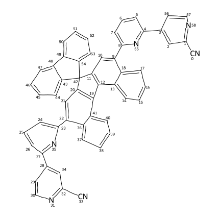 N#Cc1cc(-c2cccc(-c3cc4c(c5ccccc35)-c3c(cc(-c5cccc(-c6ccnc(C#N)c6)n5)c5ccccc35)C43c4ccccc4-c4ccccc43)n2)ccn1